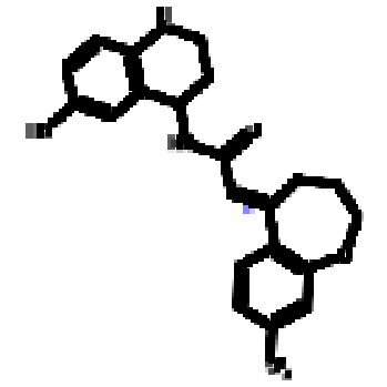 O=C(/C=C1\CCCOc2cc(C(F)(F)F)ccc21)NC1CCNc2ccc(O)cc21